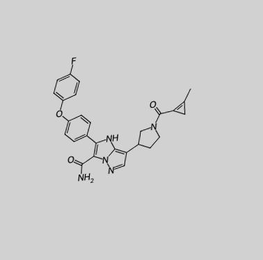 CC1=C(C(=O)N2CCC(c3cnn4c(C(N)=O)c(-c5ccc(Oc6ccc(F)cc6)cc5)[nH]c34)C2)C1